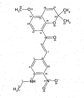 CCNc1ccc(C=CC(=O)c2ccc(OC)c3c2OC(C)(C)C=C3)cc1[N+](=O)[O-]